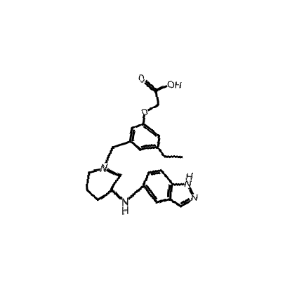 CCc1cc(CN2CCCC(Nc3ccc4[nH]ncc4c3)C2)cc(OCC(=O)O)c1